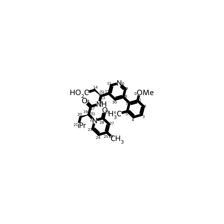 COc1cccc(C)c1-c1cncc([C@H](CC(=O)O)NC(=O)[C@H](CC(C)C)n2ccc(C)cc2=O)c1